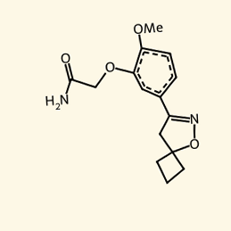 COc1ccc(C2=NOC3(CCC3)C2)cc1OCC(N)=O